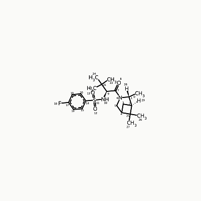 C[C@@H]1[C@@H]2CC(CN1C(=O)[C@@H](NS(=O)(=O)c1ccc(F)cc1)C(C)(C)C)C2(C)C